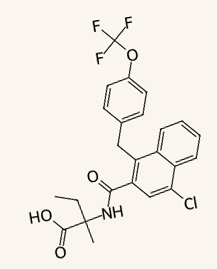 CCC(C)(NC(=O)c1cc(Cl)c2ccccc2c1Cc1ccc(OC(F)(F)F)cc1)C(=O)O